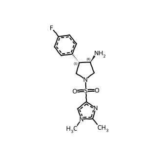 Cc1nc(S(=O)(=O)N2C[C@H](c3ccc(F)cc3)[C@@H](N)C2)cn1C